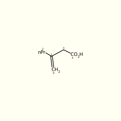 C=C(CCC)CC(=O)O